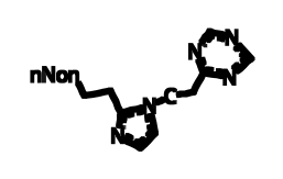 CCCCCCCCCCCc1nccn1CCc1ncncn1